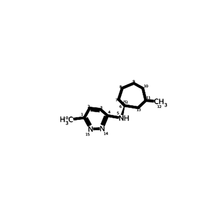 Cc1ccc(N[C@H]2CCCCC(C)C2)nn1